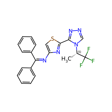 C[C@H](n1cnnc1-c1nc(N=C(c2ccccc2)c2ccccc2)cs1)C(F)(F)F